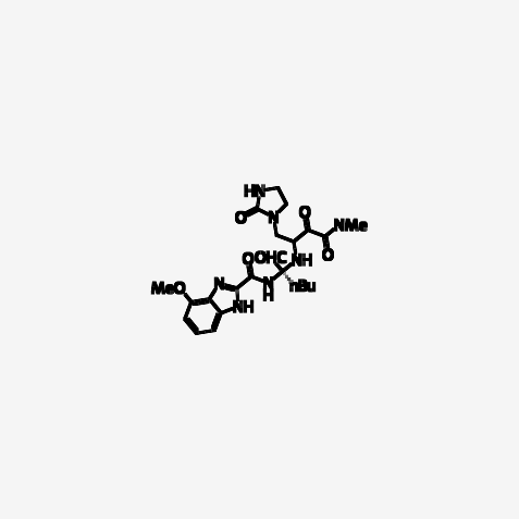 CCCC[C@@](C=O)(NC(=O)c1nc2c(OC)cccc2[nH]1)NC(CN1CCNC1=O)C(=O)C(=O)NC